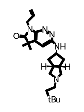 C=CCN1C(=O)C(C)(C)c2cc(N[C@H]3C[C@@H]4CN(CCC(C)(C)C)C[C@@H]4C3)nnc21